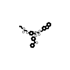 C=CCOC(=O)COc1ccc(C(NC(=O)OCc2ccc3c(c2)Cc2ccccc2-3)Oc2cccc(C(=O)c3ccccc3)c2)cc1